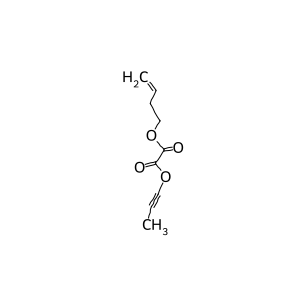 C=CCCOC(=O)C(=O)OC#CC